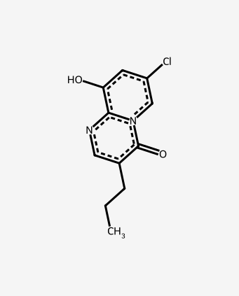 CCCc1cnc2c(O)cc(Cl)cn2c1=O